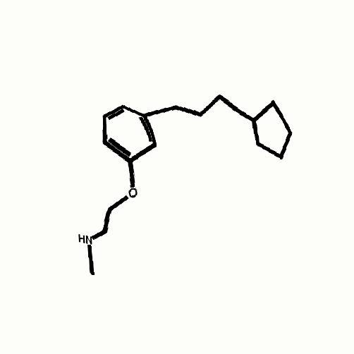 CNCCOc1cccc(CCCC2CCCC2)c1